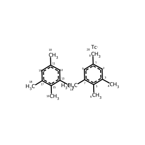 Cc1cc(C)c(C)c(C)c1.Cc1cc(C)c(C)c(C)c1.[Tc]